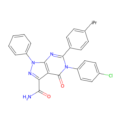 CC(C)c1ccc(-c2nc3c(c(C(N)=O)nn3-c3ccccc3)c(=O)n2-c2ccc(Cl)cc2)cc1